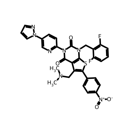 CN(C)Cc1c(-c2ccc([N+](=O)[O-])cc2)sc2c1c(=O)n(-c1ccc(-n3cccn3)cn1)c(=O)n2Cc1c(F)cccc1F